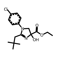 CCOC(=O)C1(O)CN(c2ccc(Cl)cc2)C(CC(C)(C)C)=N1